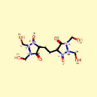 O=C1C(CCC2C(=O)N(CO)N(CO)[N+]2=O)[N+](=O)N(CO)N1CO